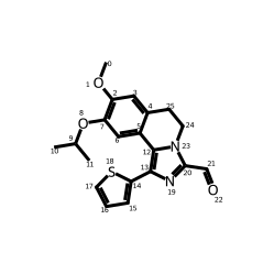 COc1cc2c(cc1OC(C)C)-c1c(-c3cccs3)nc(C=O)n1CC2